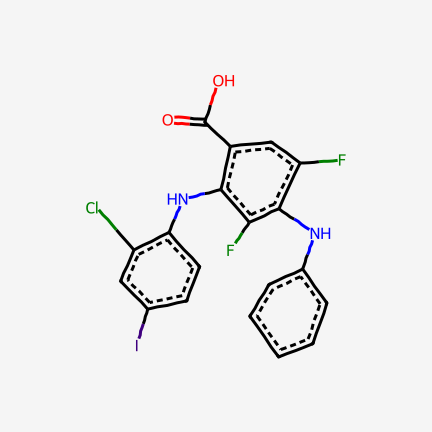 O=C(O)c1cc(F)c(Nc2ccccc2)c(F)c1Nc1ccc(I)cc1Cl